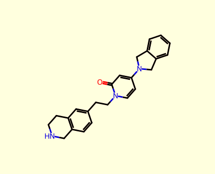 O=c1cc(N2Cc3ccccc3C2)ccn1CCc1ccc2c(c1)CCNC2